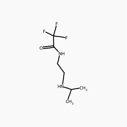 CC(C)NCCNC(=O)C(F)(F)F